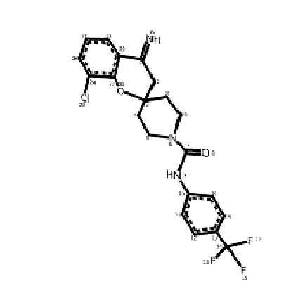 N=C1CC2(CCN(C(=O)Nc3ccc(C(F)(F)F)cc3)CC2)Oc2c(Cl)cccc21